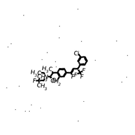 C=C(C(C)c1ccc(/C(F)=C/C(c2cccc(Cl)c2)C(F)(F)F)cc1Br)N(CC)CC(C)(C)F